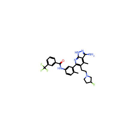 Cc1ccc(NC(=O)c2cccc(C(F)(F)F)c2)cc1-c1nc2[nH]nc(N)c2c(C)c1CCN1CCC(F)C1